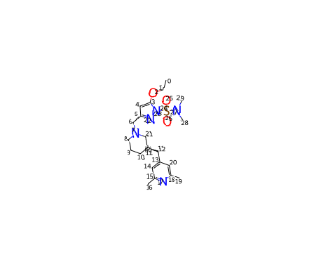 CCOc1cc(CN2CCC[C@H](Cc3cc(C)nc(C)c3)C2)nn1S(=O)(=O)N(C)C